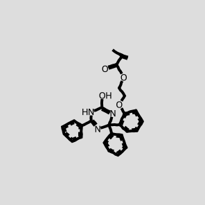 C=C(C)C(=O)OCCOc1ccccc1C1(c2ccccc2)N=C(O)NC(c2ccccc2)=N1